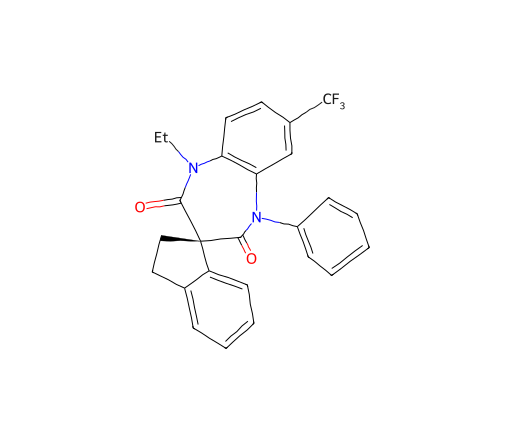 CCN1C(=O)[C@]2(CCc3ccccc32)C(=O)N(c2ccccc2)c2cc(C(F)(F)F)ccc21